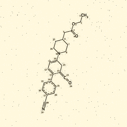 CCOC(=O)CC1CCN(C2=CC=C(c3ccc(C#N)cc3)C(=C=O)C2)CC1